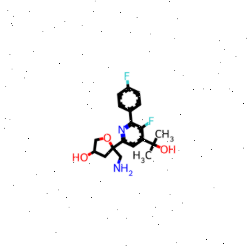 CC(C)(O)c1cc(C2(CN)CC(O)CO2)nc(-c2ccc(F)cc2)c1F